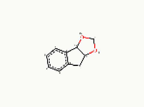 c1ccc2c(c1)CC1OCOC21